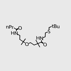 CCCC(=O)NCCC(C)(C)OCCC(C)(C)C(=O)NCCSCC(C)(C)C